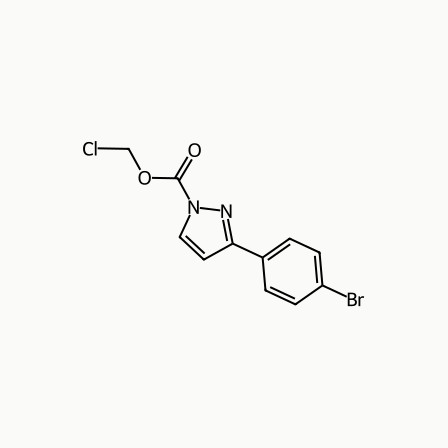 O=C(OCCl)n1ccc(-c2ccc(Br)cc2)n1